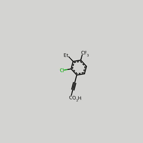 CCc1c(C(F)(F)F)ccc(C#CC(=O)O)c1Cl